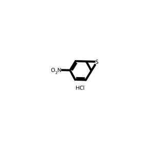 Cl.O=[N+]([O-])C1=CC2SC2C=C1